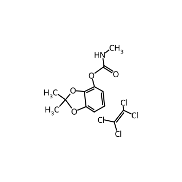 CNC(=O)Oc1cccc2c1OC(C)(C)O2.ClC(Cl)=C(Cl)Cl